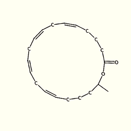 CC1CCCC=CCC=CCC=CCC=CCCCC(=O)O1